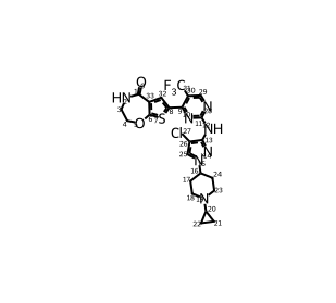 O=C1NCCOc2sc(-c3nc(Nc4nn(C5CCN(C6CC6)CC5)cc4Cl)ncc3C(F)(F)F)cc21